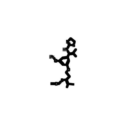 C=C=CSC(CCOc1cc(OC(C)C)cc(C(NC2=NCCS2)=C(C)C)c1)=C(C)C